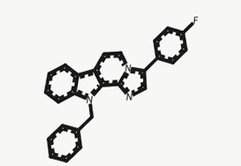 Fc1ccc(-c2cnc3c4c(ccn23)c2ccccc2n4Cc2ccccc2)cc1